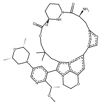 CO[C@@H](C)c1ncc(N2C[C@@H](C)O[C@@H](C)C2)cc1-c1c2c3cc(cc4c3n1CCO4)-c1csc(n1)C[C@H](N)C(=O)N1CCC[C@H](N1)C(=O)OCC(C)(C)C2